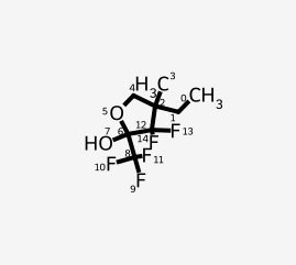 CCC1(C)COC(O)(C(F)(F)F)C1(F)F